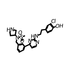 CS(=O)(=O)N(Cc1cccc(-c2ccnc(NCCc3ccc(O)c(Cl)c3)n2)c1)C1CCNC1